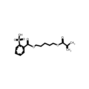 C=C(C)C(=O)OCCCCCOC(=O)c1ccccc1S(=O)(=O)O